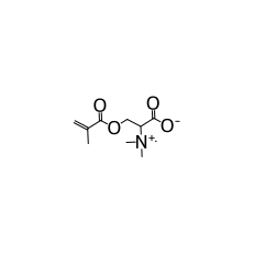 C=C(C)C(=O)OCC(C(=O)[O-])[N+](C)(C)C